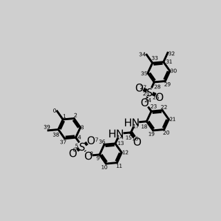 Cc1ccc(S(=O)(=O)Oc2cccc(NC(=O)Nc3ccccc3OS(=O)(=O)c3ccc(C)c(C)c3)c2)cc1C